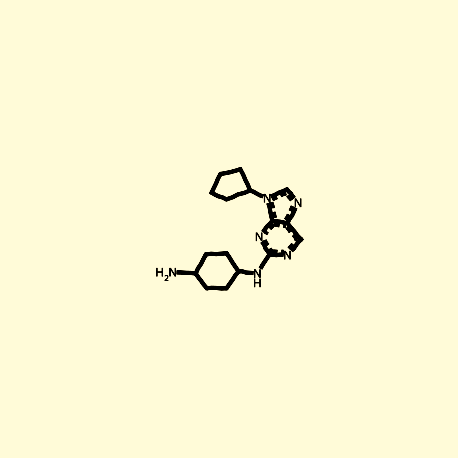 NC1CCC(Nc2ncc3ncn(C4CCCC4)c3n2)CC1